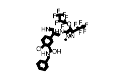 Cn1nc(C(F)(F)C(F)(F)F)c(OC(F)(F)C(F)C(F)(F)F)c1N/C=C(\C=N)c1ccc(Cl)c(C(O)NCc2ccccc2)c1